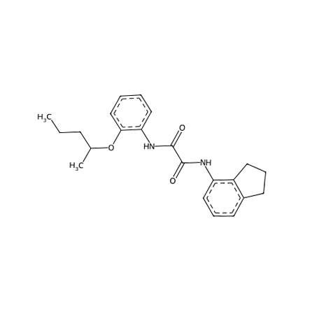 CCCC(C)Oc1ccccc1NC(=O)C(=O)Nc1cccc2c1CCC2